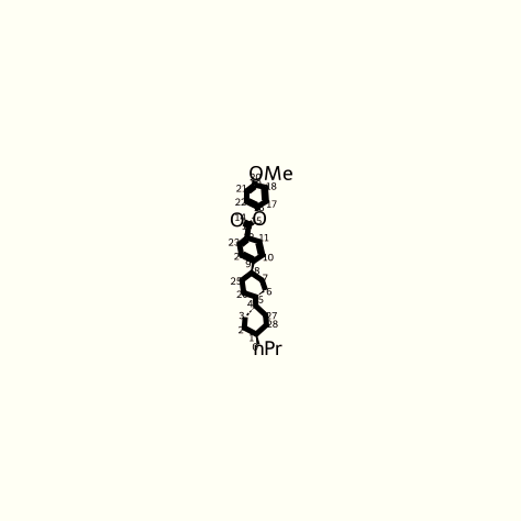 CCC[C@H]1CC[C@H]([C@H]2CC[C@H](c3ccc(C(=O)Oc4ccc(OC)cc4)cc3)CC2)CC1